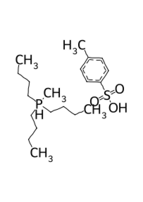 CCCC[PH](C)(CCCC)CCCC.Cc1ccc(S(=O)(=O)O)cc1